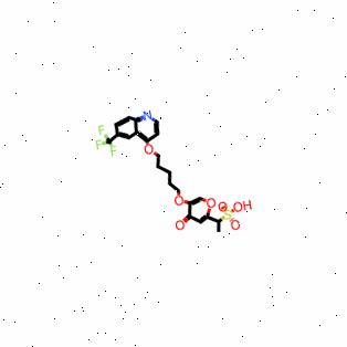 CC(c1cc(=O)c(OCCCCCOc2ccnc3ccc(C(F)(F)F)cc23)co1)S(=O)(=O)O